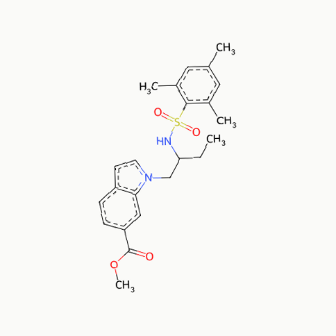 CCC(Cn1ccc2ccc(C(=O)OC)cc21)NS(=O)(=O)c1c(C)cc(C)cc1C